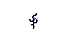 C=C/C=C\c1nccc(C(C)CC)c1C=C